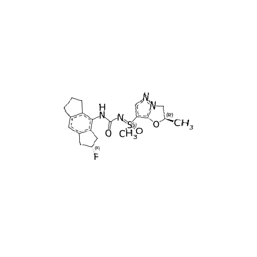 C[C@@H]1Cn2ncc([S@](C)(=O)=NC(=O)Nc3c4c(cc5c3C[C@H](F)C5)CCC4)c2O1